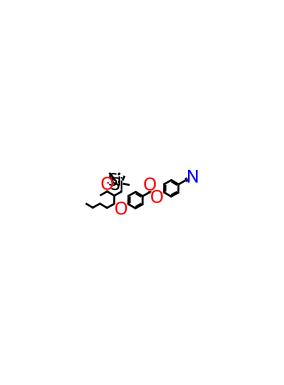 CCCCC(Oc1ccc(C(=O)Oc2ccc(C#N)cc2)cc1)C1C[Si](C)(C)[Si](C)(C)OC1C